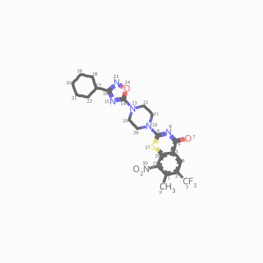 Cc1c(C(F)(F)F)cc2c(=O)nc(N3CCN(c4nc(C5CCCCC5)no4)CC3)sc2c1[N+](=O)[O-]